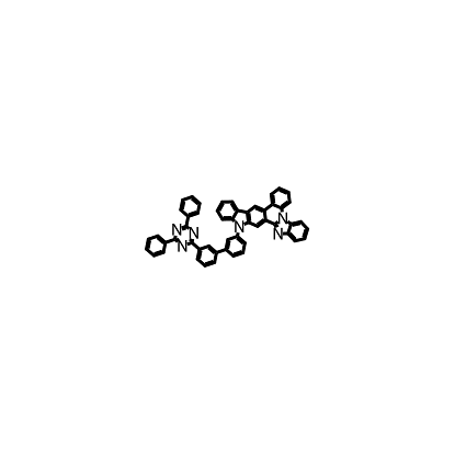 c1ccc(-c2nc(-c3ccccc3)nc(-c3cccc(-c4cccc(-n5c6ccccc6c6cc7c8ccccc8n8c9ccccc9nc8c7cc65)c4)c3)n2)cc1